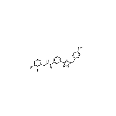 COc1ccc(Cn2nnc(-c3cccc(C(=O)NCc4cccc(F)c4F)c3)n2)cc1